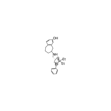 CC[Si](CC)(CC)O[C@@H](CNC1CCCc2ccc(O)cc2C1)COc1ccccc1